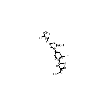 CC(=S)NC[C@H]1CN(c2ccc(-c3nnc(CN)s3)c(F)c2)C(O)O1